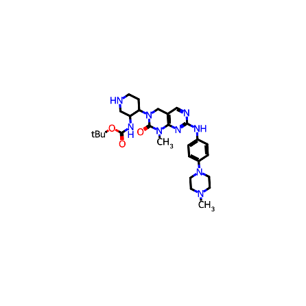 CN1CCN(c2ccc(Nc3ncc4c(n3)N(C)C(=O)N(C3CCNCC3NC(=O)OC(C)(C)C)C4)cc2)CC1